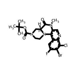 CN1C(=O)[C@H]2CN(C(=O)OC(C)(C)C)CCN2c2c1cnc1c(Cl)c(Br)c(F)cc21